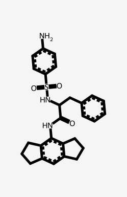 Nc1ccc(S(=O)(=O)NC(Cc2ccccc2)C(=O)Nc2c3c(cc4c2CCC4)CCC3)cc1